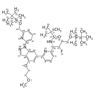 COCCOc1cc(-c2cccc([C@H](N[S@+]([O-])C(C)(C)C)C(F)CCO[Si](C)(C)C(C)(C)C)n2)cc2c1cnn2-c1cccc(CO[Si](C)(C)C(C)(C)C)n1